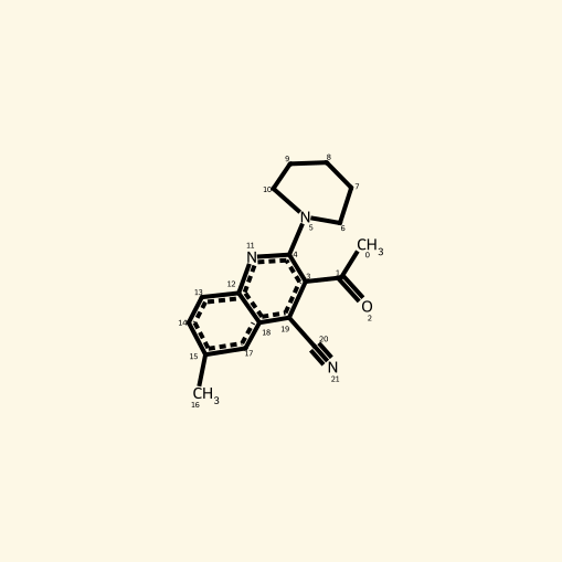 CC(=O)c1c(N2CCCCC2)nc2ccc(C)cc2c1C#N